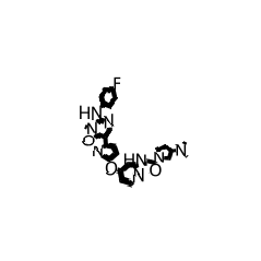 CN(C)C1CCN(C(=O)Nc2cc(Oc3ccc(-c4cnc(Nc5ccc(F)cc5)n(C)c4=O)nc3)ccn2)C1